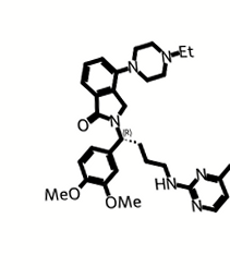 CCN1CCN(c2cccc3c2CN([C@H](CCCNc2nccc(C)n2)c2ccc(OC)c(OC)c2)C3=O)CC1